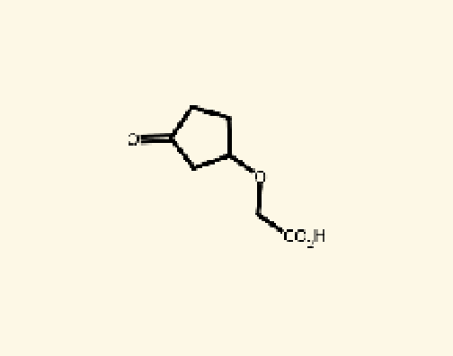 O=C(O)COC1CCC(=O)C1